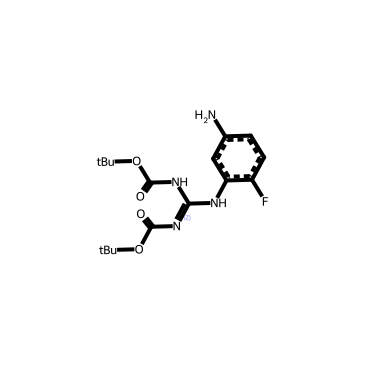 CC(C)(C)OC(=O)/N=C(\NC(=O)OC(C)(C)C)Nc1cc(N)ccc1F